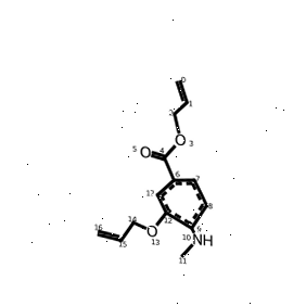 C=CCOC(=O)c1ccc(NC)c(OCC=C)c1